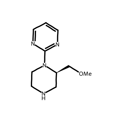 COC[C@H]1CNCCN1c1ncccn1